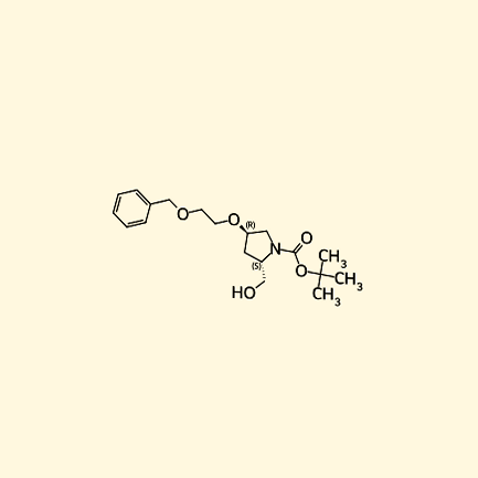 CC(C)(C)OC(=O)N1C[C@H](OCCOCc2ccccc2)C[C@H]1CO